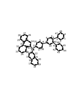 c1ccc(-c2ccc(-c3ccc(N(c4ccc5ccccc5c4)c4cc5ccccc5c5ccccc45)cc3)cc2-c2ccccc2)cc1